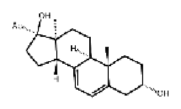 CC(=O)[C@@]1(O)CC[C@H]2C3=CC=C4C[C@@H](O)CC[C@@]4(C)[C@@H]3CC[C@@]21C